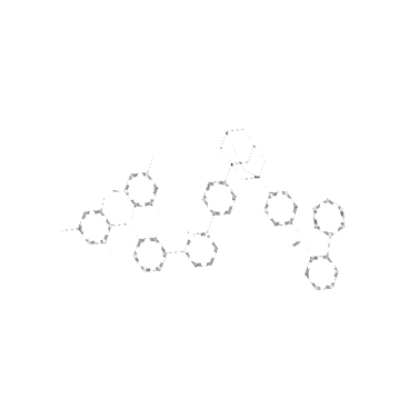 Cc1cc(C)c(B(c2cccc(-c3cccc(-c4ccc(C56CC7CC(C5)CC(c5ccc(P8(=O)c9ccccc9-c9ccccc98)cc5)(C7)C6)cc4)n3)c2)c2c(C)cc(C)cc2C)c(C)c1